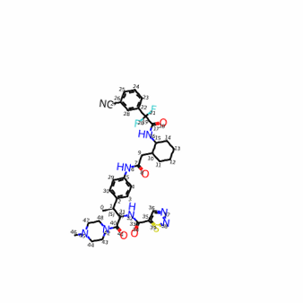 C[C@@H](c1ccc(NC(=O)CC2CCCCC2NC(=O)C(F)(F)c2cccc(C#N)c2)cc1)[C@@H](NC(=O)c1cnns1)C(=O)N1CCN(C)CC1